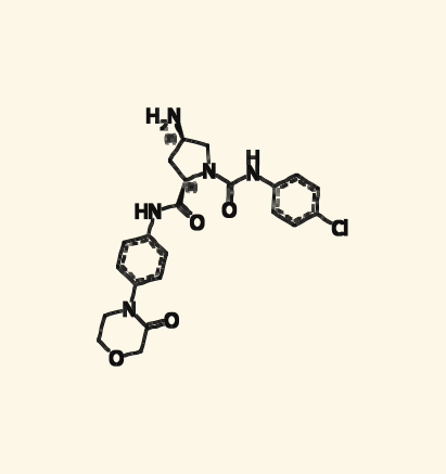 N[C@@H]1C[C@H](C(=O)Nc2ccc(N3CCOCC3=O)cc2)N(C(=O)Nc2ccc(Cl)cc2)C1